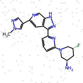 Cn1cc(-c2cc3c(-c4cccc(N5C[C@H](N)C[C@@H](F)C5)n4)n[nH]c3cn2)cn1